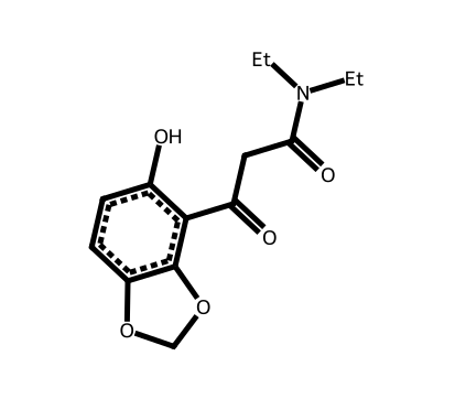 CCN(CC)C(=O)CC(=O)c1c(O)ccc2c1OCO2